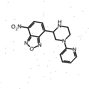 O=[N+]([O-])c1ccc(C2CN(c3ccccn3)CCN2)c2nonc12